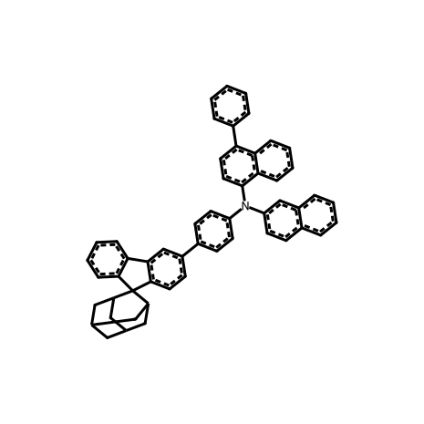 c1ccc(-c2ccc(N(c3ccc(-c4ccc5c(c4)-c4ccccc4C54C5CC6CC(C5)CC4C6)cc3)c3ccc4ccccc4c3)c3ccccc23)cc1